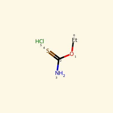 CCOC(N)=S.Cl